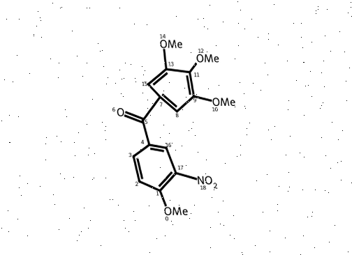 COc1ccc(C(=O)c2cc(OC)c(OC)c(OC)c2)cc1[N+](=O)[O-]